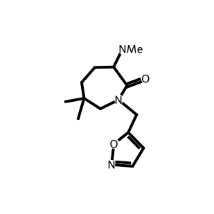 CNC1CCC(C)(C)CN(Cc2ccno2)C1=O